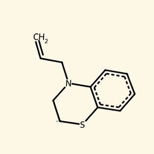 C=CCN1C[CH]Sc2ccccc21